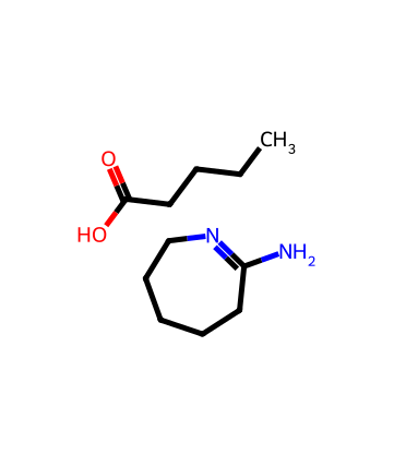 CCCCC(=O)O.NC1=NCCCCC1